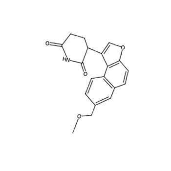 COCc1ccc2c(ccc3occ(C4CCC(=O)NC4=O)c32)c1